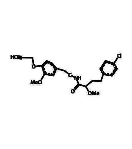 C#CCOc1ccc(CCNC(=O)C(CCc2ccc(Cl)cc2)OC)cc1OC